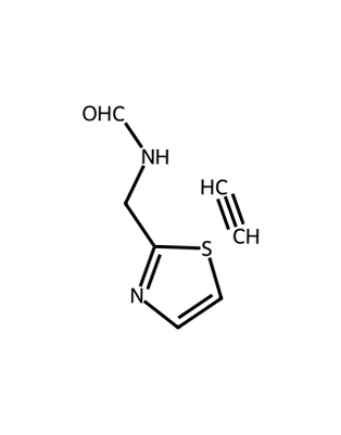 C#C.O=CNCc1nccs1